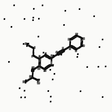 FCCc1cc(C#Cc2ccccc2)ccc1OC(F)F